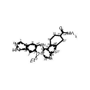 CCOc1cc2[nH]ncc2cc1Nc1ncnc2sc3c(c12)CCC(C(N)=O)C3